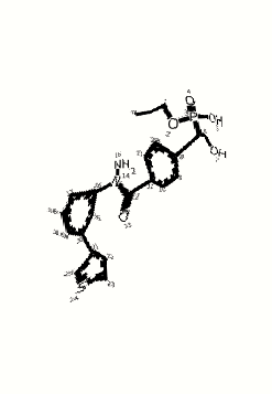 CCOP(=O)(O)C(O)c1ccc(C(=O)N(N)c2cccc(-c3ccsc3)c2)cc1